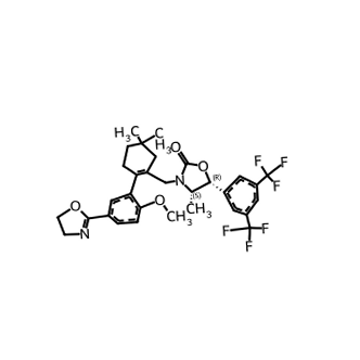 COc1ccc(C2=NCCO2)cc1C1=C(CN2C(=O)O[C@H](c3cc(C(F)(F)F)cc(C(F)(F)F)c3)[C@@H]2C)CC(C)(C)CC1